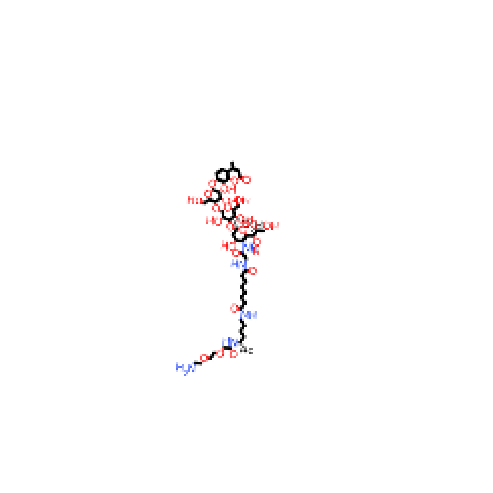 CC(=O)[C@H](CCCCNC(=O)CCCCCCC(=O)NCC(=O)NC1C(O)CC(OC2[C@@H](O)C(CO)O[C@@H](O[C@@H]3C(CO)O[C@@H](Oc4ccc5c(C)cc(=O)oc5c4)[C@@H](O)C3O)[C@H]2O)(C(=O)O)OC1C(O)[C@H](O)CO)NC(=O)COCCOCCN